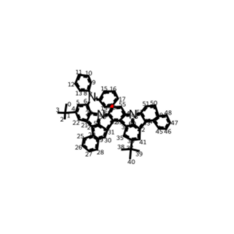 CC(C)(C)c1cc(N(c2ccccc2)c2ccccc2)c2c(c1)c1c3ccccc3cc3c4c5c6cc(C(C)(C)C)cc7c8c9ccccc9ccc8n(c5ccc4n2c31)c76